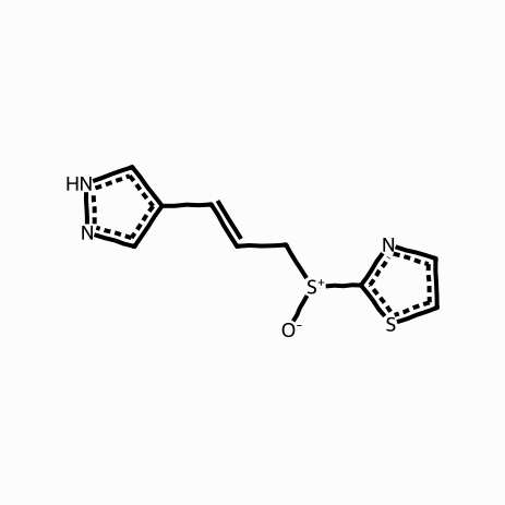 [O-][S+](CC=Cc1cn[nH]c1)c1nccs1